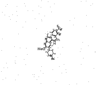 COc1nc2nc(C)nc(NC(C)c3cccc(C(F)F)c3F)c2cc1C1CCN(C(C)=O)CC1